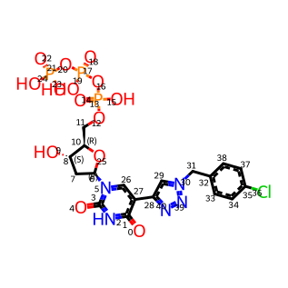 O=c1[nH]c(=O)n([C@H]2C[C@H](O)[C@@H](COP(=O)(O)OP(=O)(O)OP(=O)(O)O)O2)cc1-c1cn(Cc2ccc(Cl)cc2)nn1